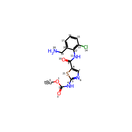 CC(C)(C)OC(=O)Nc1ncc(C(=O)Nc2c(Cl)cccc2CN)s1